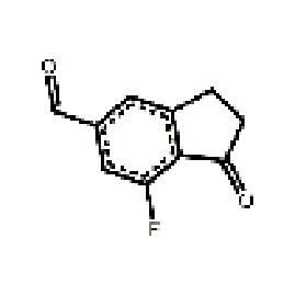 O=Cc1cc(F)c2c(c1)CCC2=O